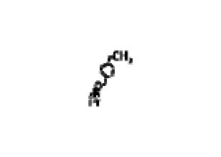 C=Cc1ccc(CON=CC(C)C)cc1